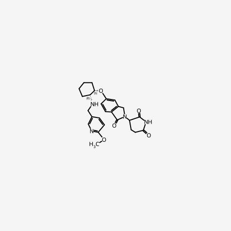 COc1ccc(CN[C@@H]2CCCC[C@@H]2Oc2ccc3c(c2)CN(C2CCC(=O)NC2=O)C3=O)cn1